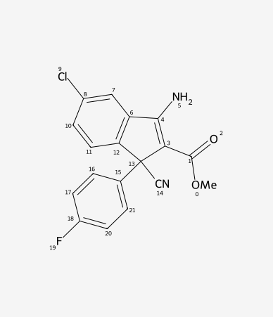 COC(=O)C1=C(N)c2cc(Cl)ccc2C1(C#N)c1ccc(F)cc1